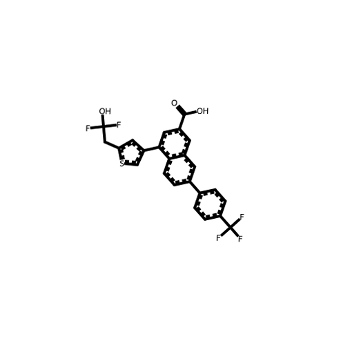 O=C(O)c1cc(-c2csc(CC(O)(F)F)c2)c2ccc(-c3ccc(C(F)(F)F)cc3)cc2c1